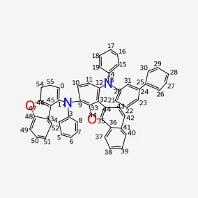 C1=C(N(c2ccccc2)c2ccc(N(c3ccccc3)c3cccc(-c4ccccc4)c3)c3c2oc2c4ccccc4ccc23)c2c(oc3ccccc23)CC1